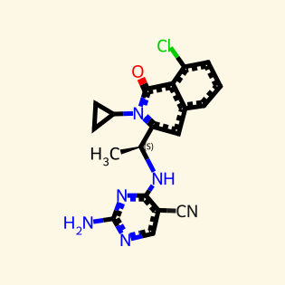 C[C@H](Nc1nc(N)ncc1C#N)c1cc2cccc(Cl)c2c(=O)n1C1CC1